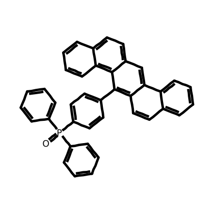 O=P(c1ccccc1)(c1ccccc1)c1ccc(-c2c3ccc4ccccc4c3cc3ccc4ccccc4c23)cc1